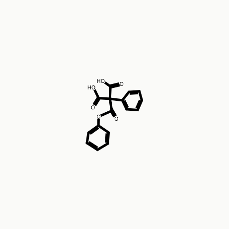 O=C(O)C(C(=O)O)(C(=O)Oc1ccccc1)c1ccccc1